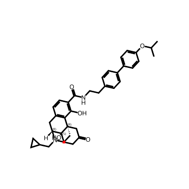 CC(C)Oc1ccc(-c2ccc(CCNC(=O)c3ccc4c(c3O)[C@]35CCN(CC6CC6)[C@H](C4)[C@]3(O)CCC(=O)C5)cc2)cc1